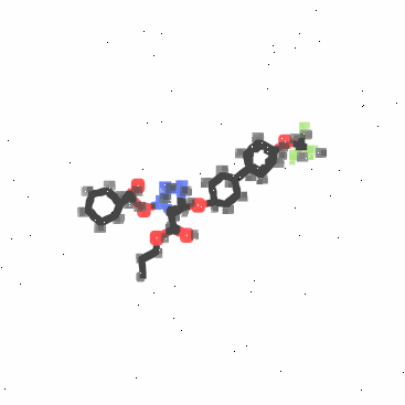 CCCOC(=O)c1c(OC2CCC(c3ccc(OC(F)(F)F)cc3)CC2)nnn1OC(=O)C1CCCCC1